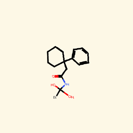 CCC(O)(O)NC(=O)CC1(c2[c]cccc2)CCCCC1